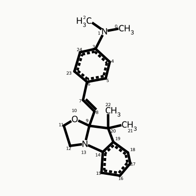 CN(C)c1ccc(/C=C/C23OCCN2c2cc[c]cc2C3(C)C)cc1